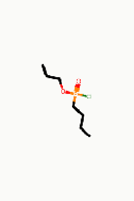 CCCCP(=O)(Cl)OCCC